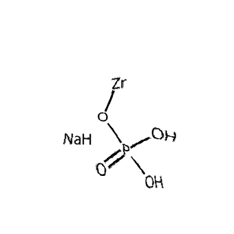 O=P(O)(O)[O][Zr].[NaH]